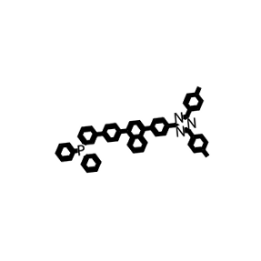 CC1=CC=C(c2nc(C3=CCC(C)C=C3)nc(-c3ccc(-c4ccc(-c5ccc(-c6cccc(P(c7ccccc7)c7ccccc7)c6)cc5)c5ccccc45)cc3)n2)CC1